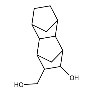 OCC1C(O)C2CC1C1C3CCC(C3)C21